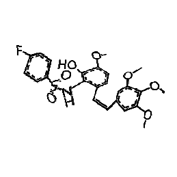 COc1ccc(/C=C\c2cc(OC)c(OC)c(OC)c2)c(NS(=O)(=O)c2ccc(F)cc2)c1O